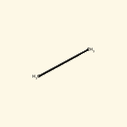 CCCCCCCCCCCCCCCCCCCCCCCCCCCCCCCCCCCCCCCCCCCCCCCCCCCCCCC